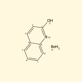 Oc1ccc2ccccc2n1.[BeH2]